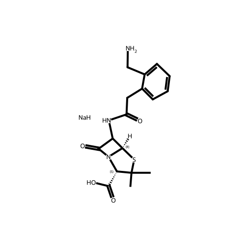 CC1(C)S[C@@H]2C(NC(=O)Cc3ccccc3CN)C(=O)N2[C@H]1C(=O)O.[NaH]